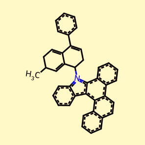 CC1C=C2C(=CC1)C(c1ccccc1)=CCC2n1c2ccccc2c2c3c4ccccc4ccc3c3ccccc3c21